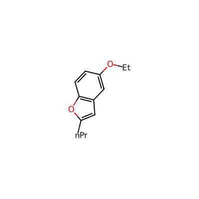 CCCc1cc2cc(OCC)ccc2o1